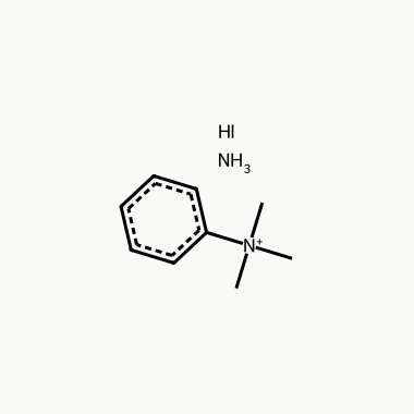 C[N+](C)(C)c1ccccc1.I.N